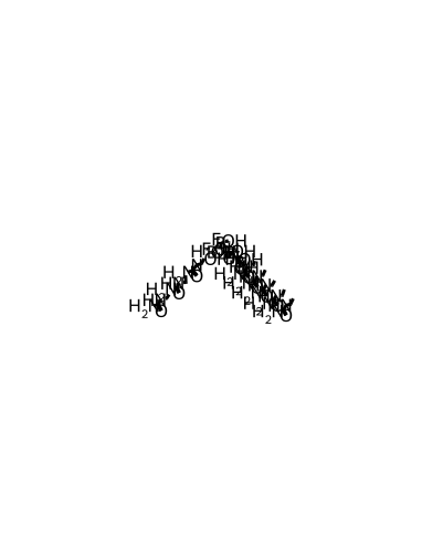 CCNC(N)=O.CCNC(N)=O.CCNC(N)=O.CCNC(N)=O.CCNC(N)=O.CCNC(N)=O.CCNC(N)=O.CCNC(N)=O.OB(O)F.OB(O)F.OB(O)F.OB(O)F